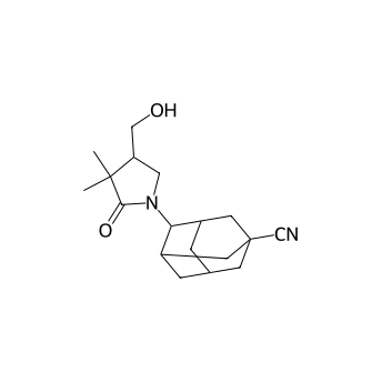 CC1(C)C(=O)N(C2C3CC4CC2CC(C#N)(C4)C3)CC1CO